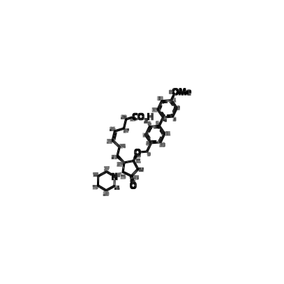 COc1ccc(-c2ccc(CO[C@H]3CC(=O)[C@H](N4CCCCC4)[C@H]3CC/C=C\CCC(=O)O)cc2)cc1